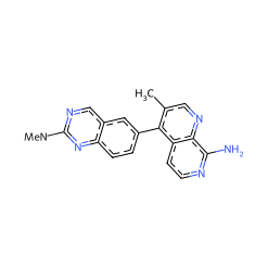 CNc1ncc2cc(-c3c(C)cnc4c(N)nccc34)ccc2n1